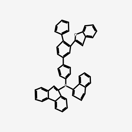 c1ccc(-c2ccc(-c3ccc(N(c4cccc5ccccc45)c4cc5ccccc5c5ccccc45)cc3)cc2-c2cc3ccccc3o2)cc1